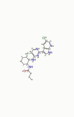 CCCC(=O)NC1CCCCC1Nc1nc(-c2c[nH]c3ncc(Cl)cc23)ncc1F